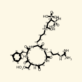 N=C(N)NCCC[C@H]1NC(=O)[C@@H](CCCCNC(O)CC(P(=O)(O)O)P(=O)(O)O)NC(=O)[C@H](Cc2ccccc2)NC(=O)C(CC(=O)O)NC(=O)CNC1=O